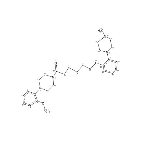 COc1ccccc1N1CCN(C(=O)CCCCCOc2ccccc2N2CCN(C)CC2)CC1